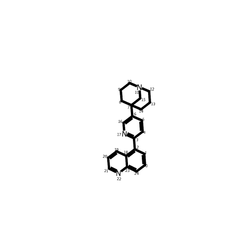 c1cc(-c2ccc(C34CCCN(CCC3)C4)cn2)c2cccnc2c1